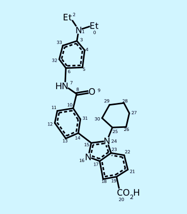 CCN(CC)c1ccc(NC(=O)c2cccc(-c3nc4cc(C(=O)O)ccc4n3C3CCCCC3)c2)cc1